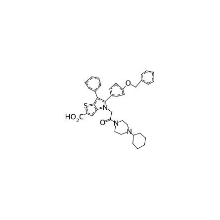 O=C(O)c1cc2c(s1)c(-c1ccccc1)c(-c1ccc(OCc3ccccc3)cc1)n2CC(=O)N1CCN(C2CCCCC2)CC1